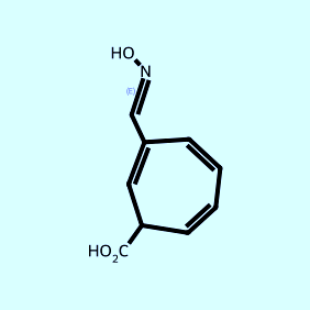 O=C(O)C1C=CC=CC(/C=N/O)=C1